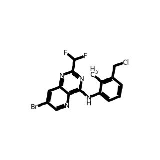 Cc1c(CCl)cccc1Nc1nc(C(F)F)nc2cc(Br)cnc12